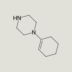 C1=C(N2CCNCC2)CCCC1